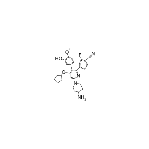 COc1ccc(-c2c(OC3CCCC3)cc(N3CCC(N)CC3)nc2-c2ccc(C#N)c(F)c2)cc1O